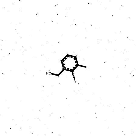 OCc1cccc(I)c1I